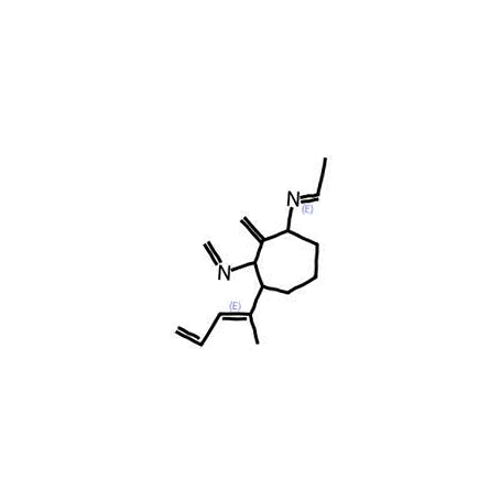 C=C/C=C(\C)C1CCCC(/N=C/C)C(=C)C1N=C